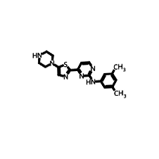 Cc1cc(C)cc(Nc2nccc(-c3ncc(N4CCNCC4)s3)n2)c1